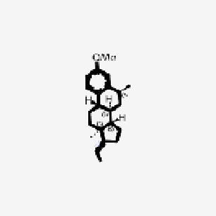 C/C=C1\CC[C@H]2[C@@H]3C[C@H](C)c4cc(OC)ccc4[C@H]3CC[C@]12C